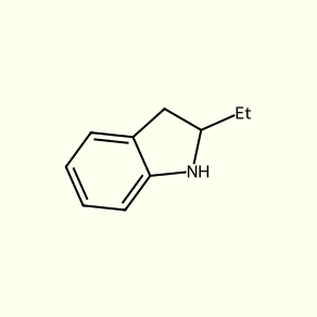 [CH2]CC1Cc2ccccc2N1